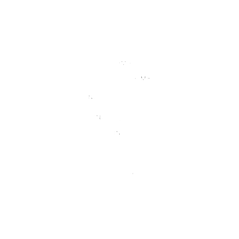 COc1cc2ncnc(C3CCc4ccc(C(F)(F)F)cc4N3)c2cc1OC